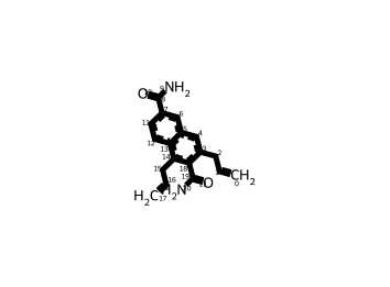 C=CCc1cc2cc(C(N)=O)ccc2c(CC=C)c1C(N)=O